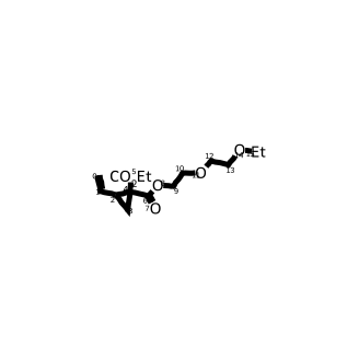 C=CC1CC1(C(=O)OCC)C(=O)OCCOCCOCC